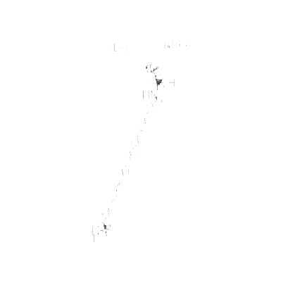 CCCCCCCCCCCCCCCCCC(=O)OC[C@H](COP(=O)(O)OCCNC(=O)CCOCCOCCOCCOCCOCCOCCOCCOCCOCCOCCOCCOCCOCCC(=O)Oc1c(F)c(F)cc(F)c1F)OC(=O)CCCCCCCCCCCCCCCCC